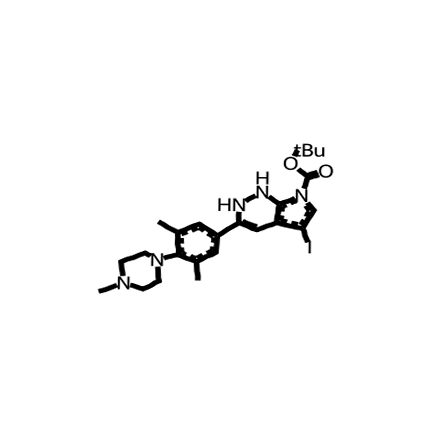 Cc1cc(C2=Cc3c(I)cn(C(=O)OC(C)(C)C)c3NN2)cc(C)c1N1CCN(C)CC1